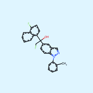 Cc1ccccc1-n1ncc2cc(C(O)(CF)c3ccc(F)c4ccccc34)ccc21